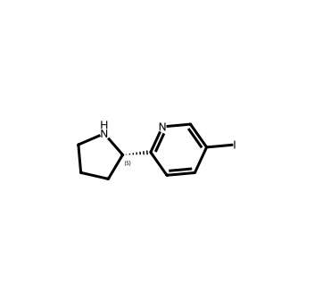 Ic1ccc([C@@H]2CCCN2)nc1